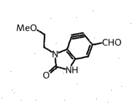 COCCn1c(=O)[nH]c2cc(C=O)c#cc21